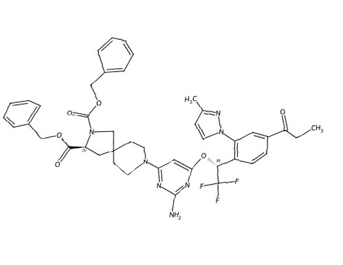 CCC(=O)c1ccc([C@@H](Oc2cc(N3CCC4(CC3)C[C@@H](C(=O)OCc3ccccc3)N(C(=O)OCc3ccccc3)C4)nc(N)n2)C(F)(F)F)c(-n2ccc(C)n2)c1